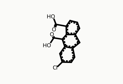 O=C(O)c1cccc2cc3ccc(Cl)cc3c(C(=O)O)c12